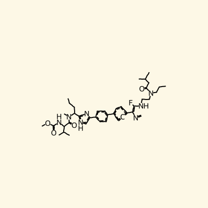 C=N/C(=C(/F)NCCN(CCC)C(=O)CC(C)C)c1ccc(-c2ccc(-c3c[nH]c(C(CCC)N(C)C(=O)C(NC(=O)OC)C(C)C)n3)cc2)cc1